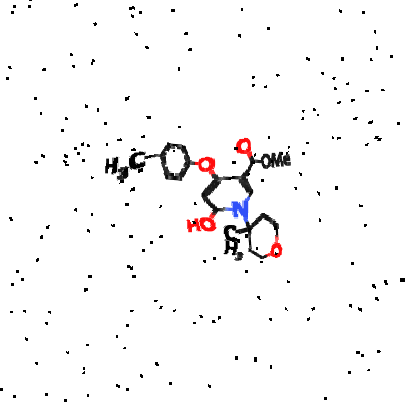 COC(=O)C1=CN(C2(C)CCOCC2)C(O)C=C1Oc1ccc(C)cc1